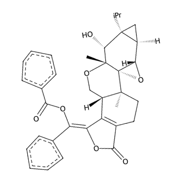 CC(C)[C@]12C[C@H]1[C@@H]1O[C@@]13[C@@]1(C)CCC4=C(/C(=C(\OC(=O)c5ccccc5)c5ccccc5)OC4=O)[C@@H]1CO[C@]3(C)[C@@H]2O